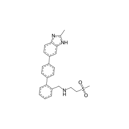 Cc1nc2ccc(-c3ccc(-c4ccccc4CNCCS(C)(=O)=O)cc3)cc2[nH]1